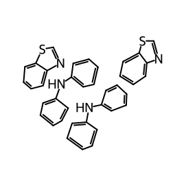 c1ccc(Nc2ccccc2)cc1.c1ccc(Nc2ccccc2)cc1.c1ccc2scnc2c1.c1ccc2scnc2c1